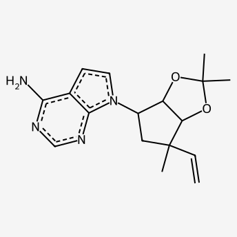 C=CC1(C)CC(n2ccc3c(N)ncnc32)C2OC(C)(C)OC21